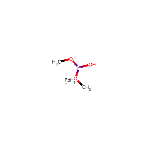 COP(O)OC.[PbH2]